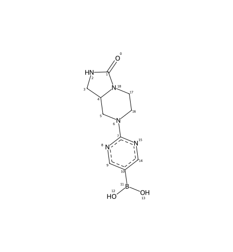 O=C1NCC2CN(c3ncc(B(O)O)cn3)CCN12